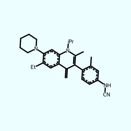 C=C1C(c2ccc(NC#N)cc2C)=C(C)N(C(C)C)c2cc(N3CCCCC3)c(CC)cc21